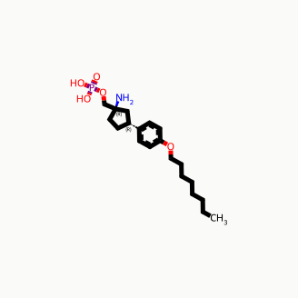 CCCCCCCCOc1ccc([C@@H]2CC[C@](N)(COP(=O)(O)O)C2)cc1